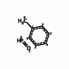 Cc1ccccc1.O=P